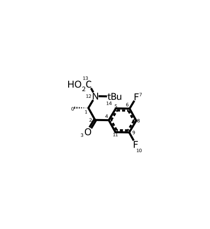 C[C@@H](C(=O)c1cc(F)cc(F)c1)N(C(=O)O)C(C)(C)C